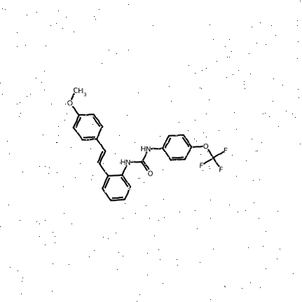 COc1ccc(C=Cc2ccccc2NC(=O)Nc2ccc(OC(F)(F)F)cc2)cc1